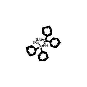 CC(C)(C)[Si](P[Si](c1ccccc1)(c1ccccc1)C(C)(C)C)(c1ccccc1)c1ccccc1